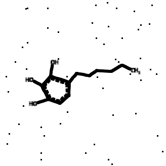 CCCCCCc1ccc(O)c(O)c1O